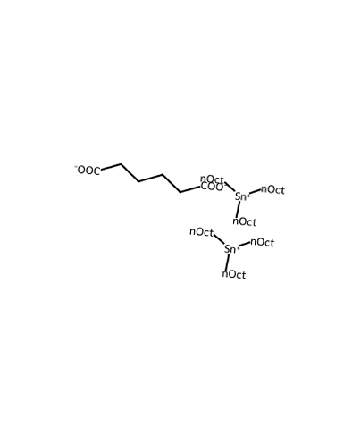 CCCCCCC[CH2][Sn+]([CH2]CCCCCCC)[CH2]CCCCCCC.CCCCCCC[CH2][Sn+]([CH2]CCCCCCC)[CH2]CCCCCCC.O=C([O-])CCCCC(=O)[O-]